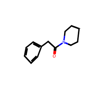 O=C(Cc1ccccc1)N1CC[CH]CC1